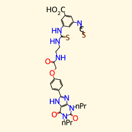 CCCn1c(=O)c2[nH]c(-c3ccc(OCC(=O)NCCNC(=S)Nc4cc(N=C=S)cc(C(=O)O)c4)cc3)nc2n(CCC)c1=O